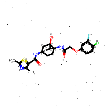 Cc1nc(C)c(C(=O)NC23CCC(NC(=O)COc4ccc(Cl)c(F)c4)(CC2)C(O)C3)s1